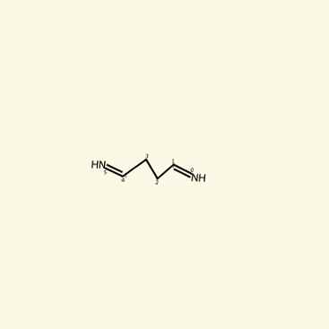 N=[C]CC[C]=N